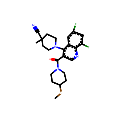 CSC1CCN(C(=O)c2cnc3c(F)cc(F)cc3c2N2CCC(C)(C#N)CC2)CC1